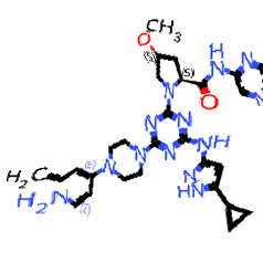 C=C/C=C(\C=C/N)N1CCN(c2nc(Nc3cc(C4CC4)[nH]n3)nc(N3C[C@@H](OC)C[C@H]3C(=O)Nc3cnccn3)n2)CC1